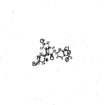 CS(=O)(=O)c1ccc(C(CC2CCC(=O)C2)C(=O)Nc2cnc(Br)cn2)cc1Cl